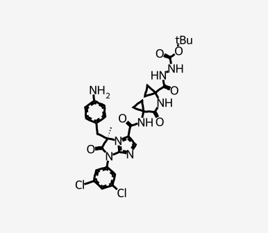 CC(C)(C)OC(=O)NNC(=O)C1(NC(=O)C2(NC(=O)c3cnc4n3[C@](C)(Cc3ccc(N)cc3)C(=O)N4c3cc(Cl)cc(Cl)c3)CC2)CC1